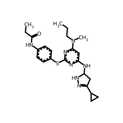 CCCN(C)c1cc(NC2CC(C3CC3)=NN2)nc(Sc2ccc(NC(=O)CC)cc2)n1